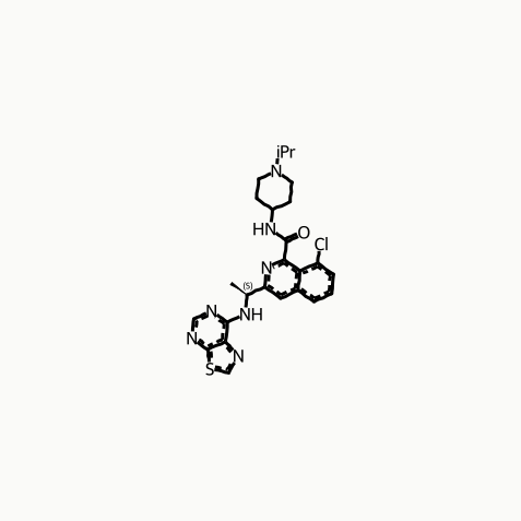 CC(C)N1CCC(NC(=O)c2nc([C@H](C)Nc3ncnc4scnc34)cc3cccc(Cl)c23)CC1